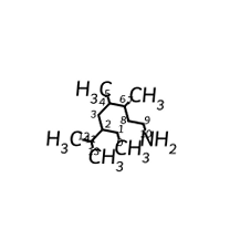 CCC(CC(C)C(C)CCN)C(C)C